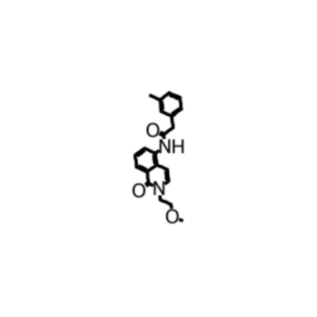 COCCn1ccc2c(NC(=O)Cc3cccc(C)c3)cccc2c1=O